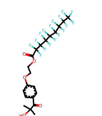 CC(C)(O)C(=O)c1ccc(OCCOC(=O)C(F)(F)C(F)(F)C(F)(F)C(F)(F)C(F)(F)C(F)(F)C(F)(F)C(F)(F)F)cc1